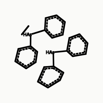 CC.c1ccc([AsH]c2ccccc2)cc1.c1ccc([AsH]c2ccccc2)cc1